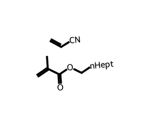 C=C(C)C(=O)OCCCCCCCC.C=CC#N